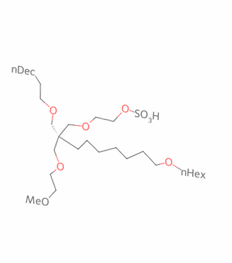 CCCCCCCCCCCCOC[C@](CCCCCCCOCCCCCC)(COCCOC)COCCOS(=O)(=O)O